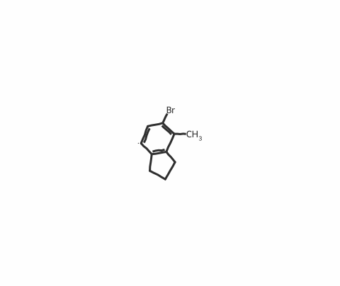 Cc1c(Br)c[c]c2c1CCC2